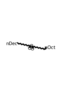 CCCCCCCC/C=C\CCCCCCCC(=O)OC(=O)CCCCCCCCCCCCCCCCCCC